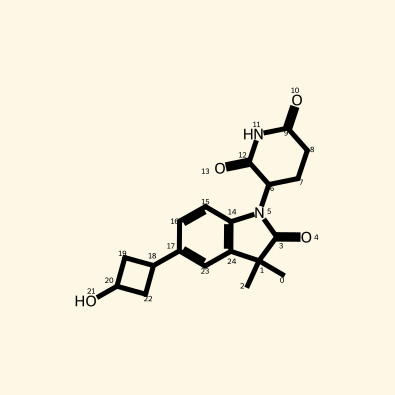 CC1(C)C(=O)N(C2CCC(=O)NC2=O)c2ccc(C3CC(O)C3)cc21